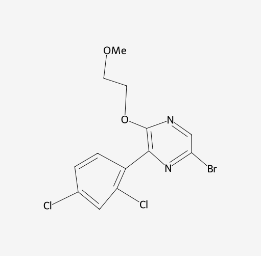 COCCOc1ncc(Br)nc1-c1ccc(Cl)cc1Cl